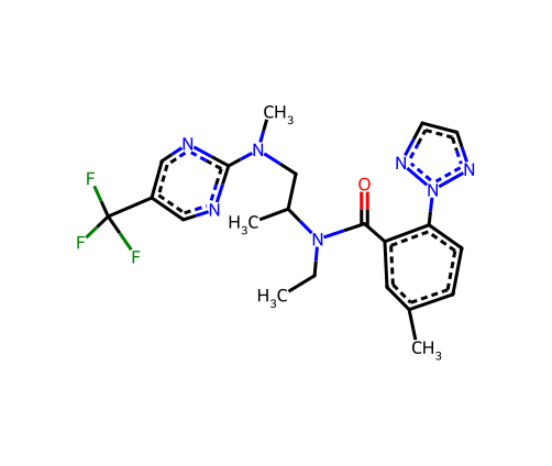 CCN(C(=O)c1cc(C)ccc1-n1nccn1)C(C)CN(C)c1ncc(C(F)(F)F)cn1